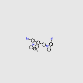 CC12C=CC=CC1N(c1cc(C#N)ccc1-c1ccc(-c3ccc(-n4c5ccccc5c5ccc(C#N)cc54)cc3)cc1)c1ccccc12